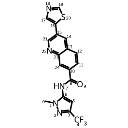 Cn1nc(C(F)(F)F)cc1NC(=O)c1ccc2cc(-c3cncs3)cnc2c1